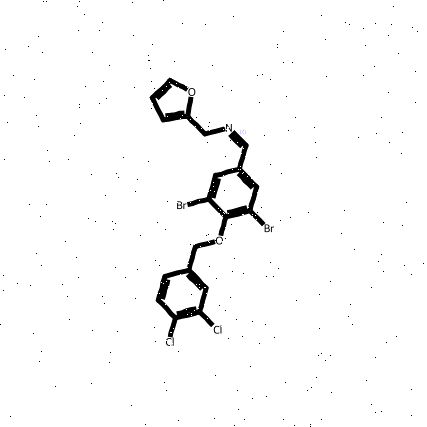 Clc1ccc(COc2c(Br)cc(/C=N\Cc3ccco3)cc2Br)cc1Cl